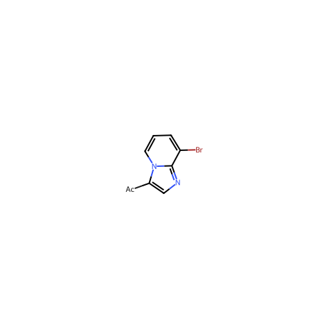 CC(=O)c1cnc2c(Br)cccn12